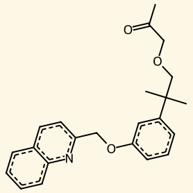 CC(=O)COCC(C)(C)c1cccc(OCc2ccc3ccccc3n2)c1